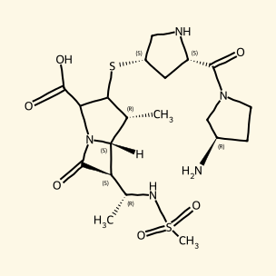 C[C@@H](NS(C)(=O)=O)[C@H]1C(=O)N2C(C(=O)O)C(S[C@@H]3CN[C@H](C(=O)N4CC[C@@H](N)C4)C3)[C@H](C)[C@H]12